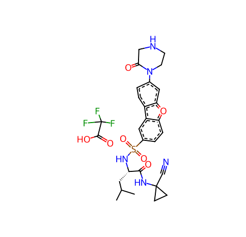 CC(C)C[C@H](NS(=O)(=O)c1ccc2oc3cc(N4CCNCC4=O)ccc3c2c1)C(=O)NC1(C#N)CC1.O=C(O)C(F)(F)F